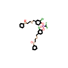 O=P(Oc1ccc(CSCC[S+]([O-])c2ccccc2)cc1Br)(Oc1ccc(CSCC[S+]([O-])c2ccccc2)cc1Br)C(F)F